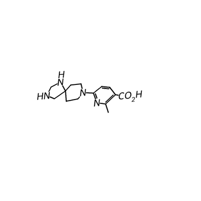 Cc1nc(N2CCC3(CC2)CNCN3)ccc1C(=O)O